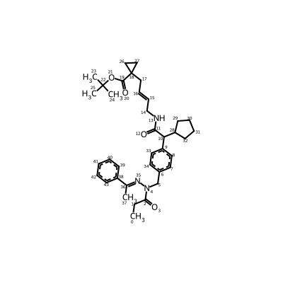 CCC(=O)N(Cc1ccc(C(C(=O)NC/C=C/CC2(C(=O)OC(C)(C)C)CC2)C2CCCC2)cc1)/N=C(\C)c1ccccc1